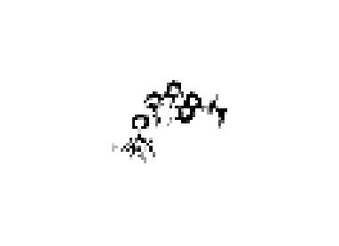 Cc1ccc2c(NC(=O)C3CC3F)cccc2c1Oc1ncccc1-c1ccnc(N[C@H]2CCCN(C(=O)OC(C)(C)C)C2)n1